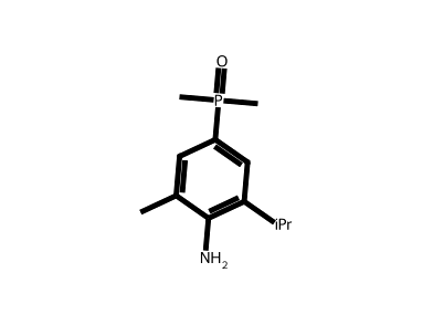 Cc1cc(P(C)(C)=O)cc(C(C)C)c1N